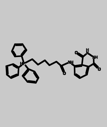 O=C(CCCCC[PH](c1ccccc1)(c1ccccc1)c1ccccc1)Nc1cccc2c(=O)[nH][nH]c(=O)c12